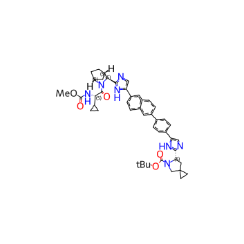 COC(=O)N[C@H](C(=O)N1[C@@H]2CC[C@@H](C2)[C@H]1c1ncc(-c2ccc3cc(-c4ccc(-c5cnc([C@@H]6CC7(CC7)CN6C(=O)OC(C)(C)C)[nH]5)cc4)ccc3c2)[nH]1)C1CC1